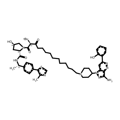 Cc1ncsc1-c1ccc([C@H](C)NC(=O)[C@@H]2C[C@@H](O)CN2C(=O)[C@H](C(=O)CCCCCCCCCCCN2CCC(n3nc(N)c4nnc(-c5ccccc5O)cc43)CC2)C(C)(C)C)cc1